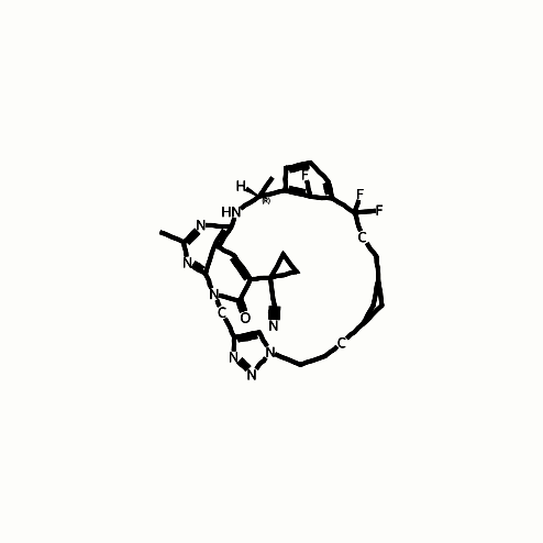 Cc1nc2c3cc(C4(C#N)CC4)c(=O)n(c3n1)Cc1cn(nn1)CCCC1CC(CCC(F)(F)c3cccc(c3F)[C@@H](C)N2)C1